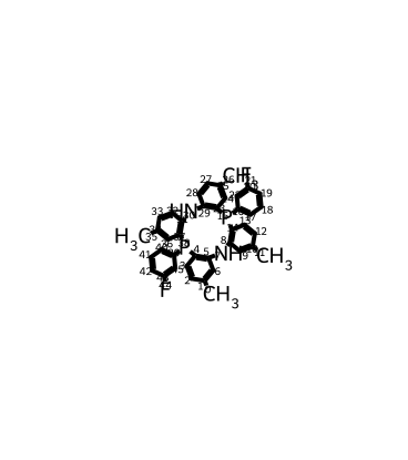 Cc1ccc2c(c1)Nc1cc(C)ccc1P(c1cccc(F)c1)c1cc(C)ccc1Nc1ccc(C)cc1P2c1cccc(F)c1